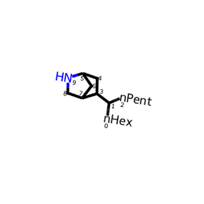 CCCCCCC(CCCCC)C1CC2CC1CN2